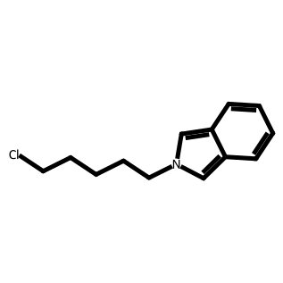 ClCCCCCn1cc2ccccc2c1